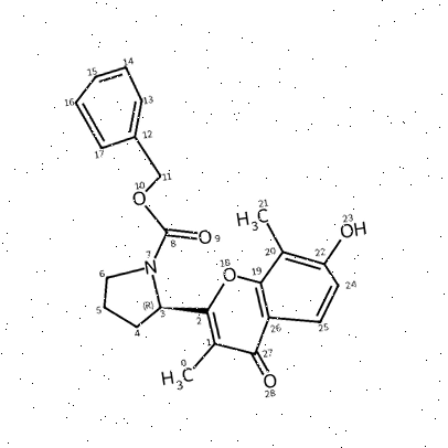 Cc1c([C@H]2CCCN2C(=O)OCc2ccccc2)oc2c(C)c(O)ccc2c1=O